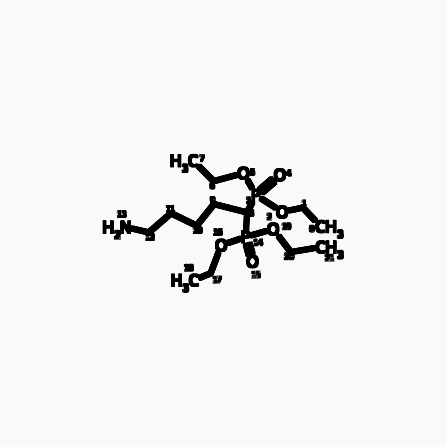 CCOP(=O)(OCC)C(CCCCN)P(=O)(OCC)OCC